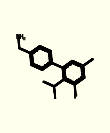 Cc1cc(F)c(C(C)C)c(-c2ccc(CN)cc2)c1